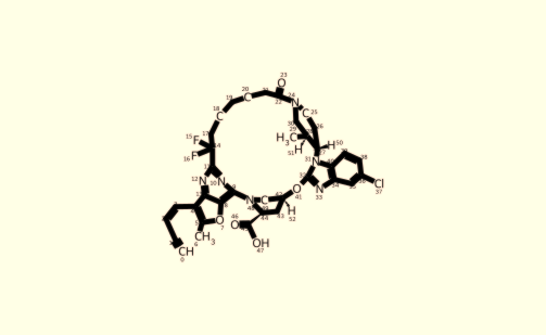 C#C/C=C\c1c(C)oc2c3nc(nc12)C(F)(F)CCCCCC(=O)N1CC[C@@H]([C@@H](C)C1)n1c(nc2cc(Cl)ccc21)O[C@H]1C[C@@H](C(=O)O)N3C1